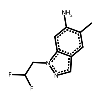 Cc1cc2cnn(CC(F)F)c2cc1N